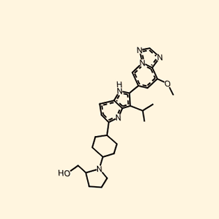 COc1cc(-c2[nH]c3ccc(C4CCC(N5CCCC5CO)CC4)nc3c2C(C)C)cn2ncnc12